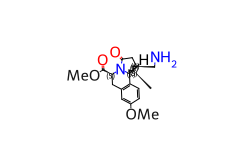 COC(=O)[C@@H]1Cc2cc(OC)ccc2[C@@]23C[C@H](C)[C@@H](CN)[C@@H]2CC(=O)N13